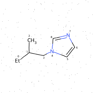 CCC(C)Cn1ccnc1